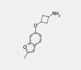 Cc1cc2ccc(OC3CC(N)C3)cc2o1